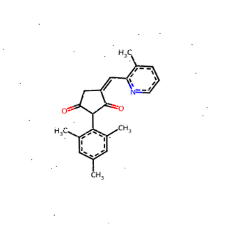 Cc1cc(C)c(C2C(=O)CC(=Cc3ncccc3C)C2=O)c(C)c1